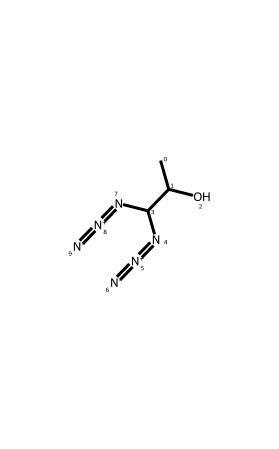 CC(O)C(N=[N+]=[N-])N=[N+]=[N-]